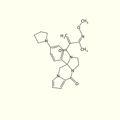 C=C(C(=O)N1CCN2C(=O)c3cccn3CC12c1ccc(N2CCCC2)cc1)/C(C)=N\OC